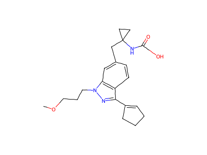 COCCCn1nc(C2=CCCC2)c2ccc(CC3(NC(=O)O)CC3)cc21